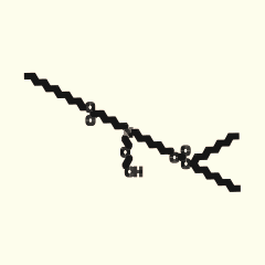 CCCCCCCCCCCOC(=O)CCCCCN(CCCCCCCOC(=O)OC(CCCCCCCC)CCCCCCCC)CCOCCO